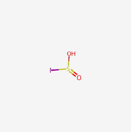 O=S(O)I